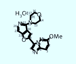 COc1ccc2ncc(-c3cc4c(N5CCOC[C@H]5C)nccc4o3)n2n1